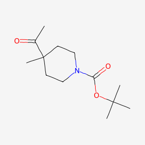 CC(=O)C1(C)CCN(C(=O)OC(C)(C)C)CC1